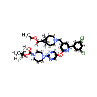 CCOC(=O)C1[C@H]2CCN(Cc3cc(Oc4cnc(N5CCCN(C(=O)OC(C)(C)C)CC5)nc4)nc(-c4cc(Cl)cc(Cl)c4)c3)CC[C@@H]12